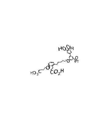 CC(C)C(=O)c1cc(OCCCCCCc2cccc(OCCCC(=O)O)c2CCC(=O)O)cc(-c2ccc(O)c(O)c2)c1